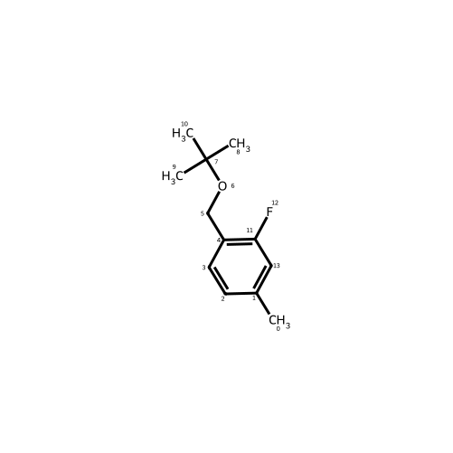 Cc1ccc(COC(C)(C)C)c(F)c1